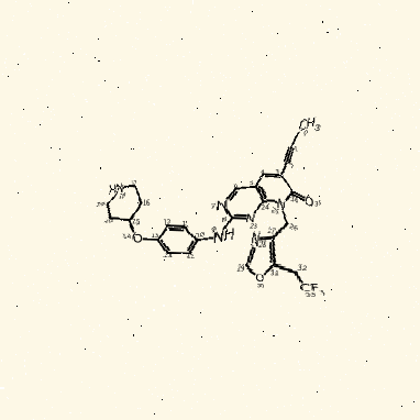 CC#Cc1cc2cnc(Nc3ccc(OC4CCNCC4)cc3)nc2n(Cc2ncoc2CC(F)(F)F)c1=O